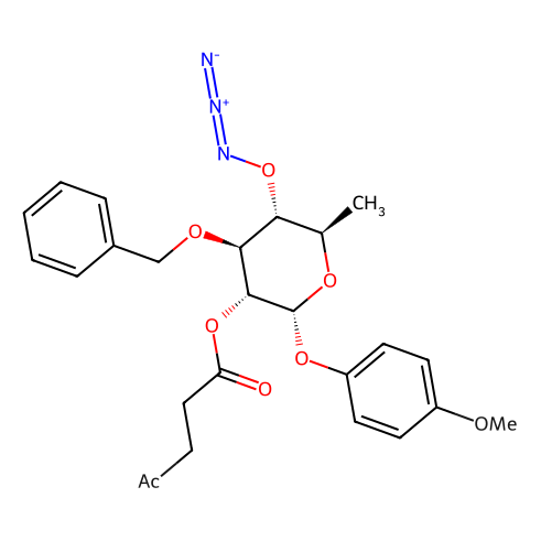 COc1ccc(O[C@H]2O[C@H](C)[C@@H](ON=[N+]=[N-])[C@H](OCc3ccccc3)[C@H]2OC(=O)CCC(C)=O)cc1